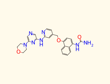 NC(=O)Nc1ccc(OCc2ccnc(Nc3cncc(N4CCOCC4)n3)c2)c2ccccc12